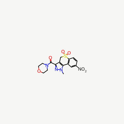 Cn1nc(C(=O)N2CCOCC2)c2c1-c1cc([N+](=O)[O-])ccc1S(=O)(=O)C2